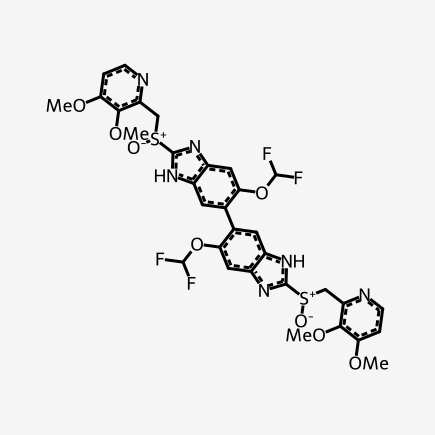 COc1ccnc(C[S+]([O-])c2nc3cc(OC(F)F)c(-c4cc5[nH]c([S+]([O-])Cc6nccc(OC)c6OC)nc5cc4OC(F)F)cc3[nH]2)c1OC